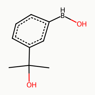 CC(C)(O)c1cccc(BO)c1